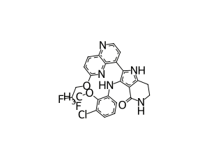 COc1c(Cl)cccc1Nc1c(-c2ccnc3ccc(OCC(F)F)nc23)[nH]c2c1C(=O)NCC2